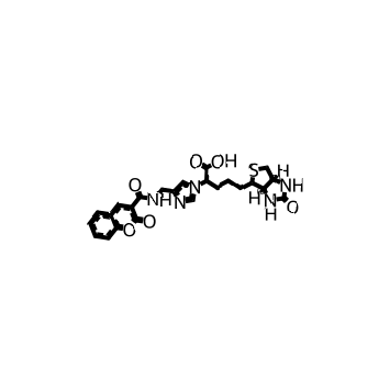 O=C1N[C@H]2CSC(CCCC(C(=O)O)n3cnc(CNC(=O)c4cc5ccccc5oc4=O)c3)[C@H]2N1